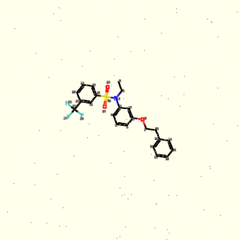 CCN(c1cccc(OCCc2ccccc2)c1)S(=O)(=O)c1cccc(C(F)(F)F)c1